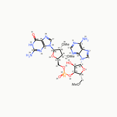 COC[C@H]1O[C@@H](n2cnc3c(N)ncnc32)[C@H](O)[C@@H]1O[PH](=O)OC[C@H]1O[C@@H](n2cnc3c(=O)[nH]c(N)nc32)[C@H](OC)[C@@H]1OC